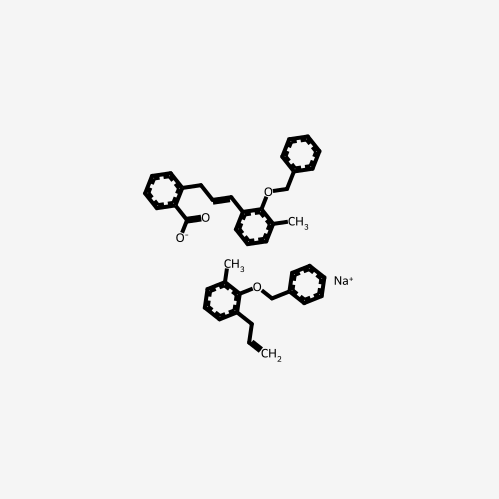 C=CCc1cccc(C)c1OCc1ccccc1.Cc1cccc(/C=C/Cc2ccccc2C(=O)[O-])c1OCc1ccccc1.[Na+]